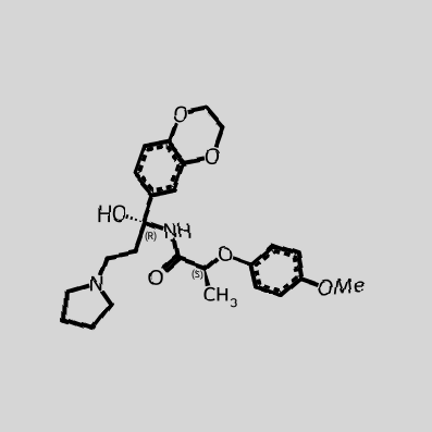 COc1ccc(O[C@@H](C)C(=O)N[C@@](O)(CCN2CCCC2)c2ccc3c(c2)OCCO3)cc1